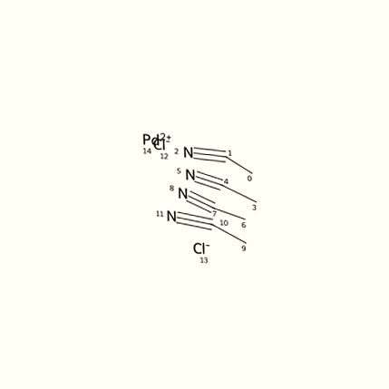 CC#N.CC#N.CC#N.CC#N.[Cl-].[Cl-].[Pd+2]